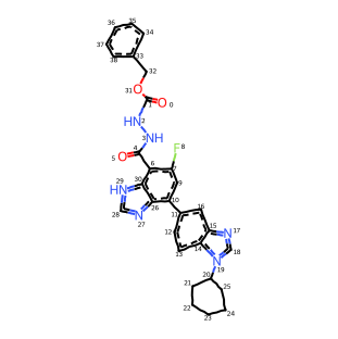 O=C(NNC(=O)c1c(F)cc(-c2ccc3c(c2)ncn3C2CCCCC2)c2nc[nH]c12)OCc1ccccc1